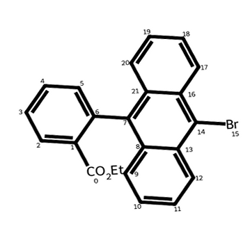 CCOC(=O)c1ccccc1-c1c2ccccc2c(Br)c2ccccc12